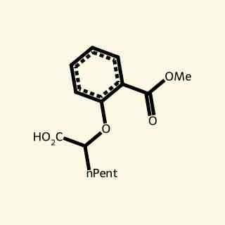 CCCCCC(Oc1ccccc1C(=O)OC)C(=O)O